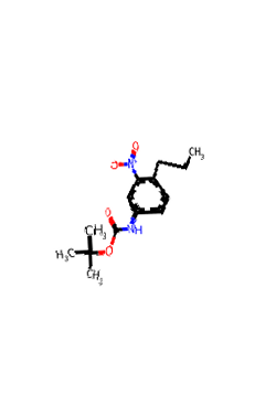 CCCc1ccc(NC(=O)OC(C)(C)C)cc1[N+](=O)[O-]